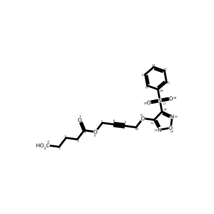 O=C(O)CCCC(=O)OCC#CCOc1nonc1S(=O)(=O)c1ccccc1